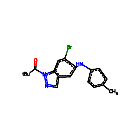 Cc1ccc(Nc2cc3cnn(C(=O)C(C)(C)C)c3cc2Br)cc1